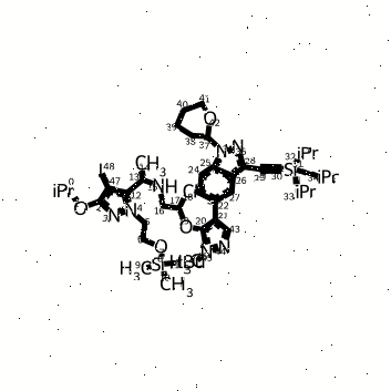 CC(C)Oc1nn(CCO[Si](C)(C)C(C)(C)C)c(C(C)NCC(C)Oc2c(-c3ccc4c(c3)c(C#C[Si](C(C)C)(C(C)C)C(C)C)nn4C3CCCCO3)cnn2C)c1I